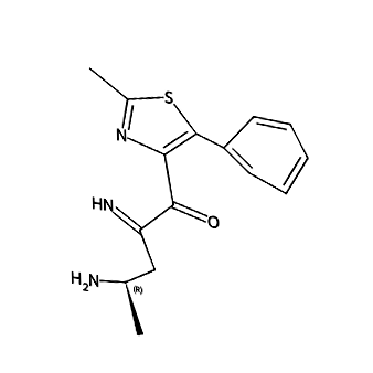 Cc1nc(C(=O)C(=N)C[C@@H](C)N)c(-c2ccccc2)s1